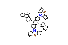 CC1(C)c2ccccc2-c2ccc(-c3c4ccc(N5C6=C(CCC=C6)Sc6ccccc65)cc4c(-c4ccc5ccccc5c4)c4cc(N5c6ccccc6Sc6ccccc65)ccc34)cc21